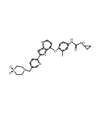 O=C(Nc1ccc(Oc2ccnc3cc(-c4ccc(CN5CCS(=O)(=O)CC5)cn4)sc23)c(F)c1)NC1CC1